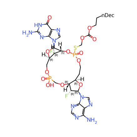 CCCCCCCCCCCCOC(=O)OCSP1(=O)OCC[C@H]2O[C@@H](n3cnc4c(N)ncnc43)[C@H](F)[C@@H]2OCP(=O)(O)OC[C@H]2O[C@@H](n3cnc4c(=O)[nH]c(N)nc43)[C@H](O1)[C@@H]2F